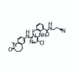 CN1C(=O)CCCc2cc(Nc3ncc(Cl)c(Nc4c(F)cccc4C(=O)NCCC#N)n3)ccc21